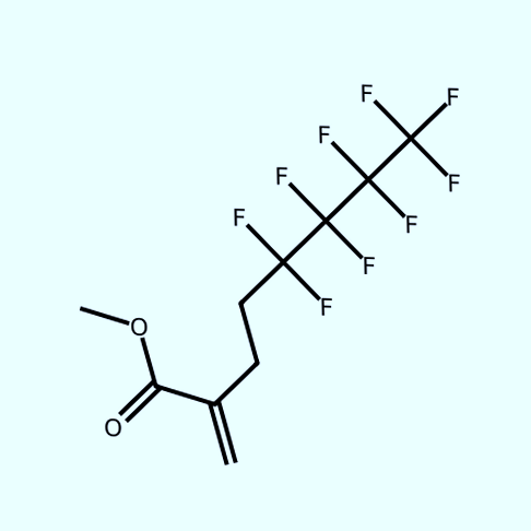 C=C(CCC(F)(F)C(F)(F)C(F)(F)C(F)(F)F)C(=O)OC